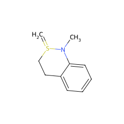 C=S1CCc2ccccc2N1C